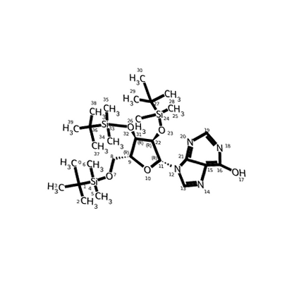 CC(C)(C)[Si](C)(C)OC[C@H]1O[C@@H](n2cnc3c(O)ncnc32)[C@H](O[Si](C)(C)C(C)(C)C)[C@@H]1O[Si](C)(C)C(C)(C)C